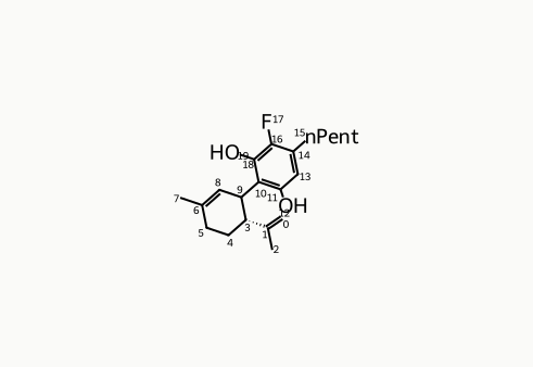 C=C(C)[C@@H]1CCC(C)=CC1c1c(O)cc(CCCCC)c(F)c1O